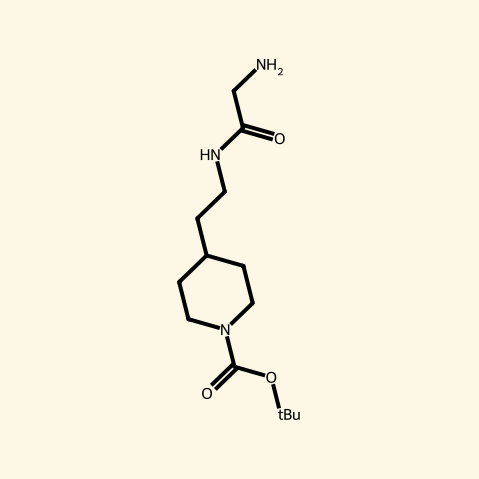 CC(C)(C)OC(=O)N1CCC(CCNC(=O)CN)CC1